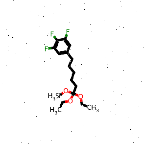 CCOC(CCCCCc1cc(F)c(F)c(F)c1)(O[SiH3])OCC